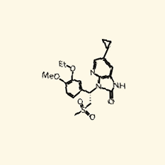 CCOc1cc([C@@H](CS(C)(=O)=O)n2c(=O)[nH]c3cc(C4CC4)cnc32)ccc1OC